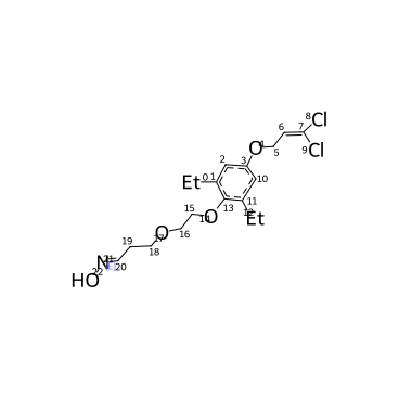 CCc1cc(OCC=C(Cl)Cl)cc(CC)c1OCCOCC/C=N/O